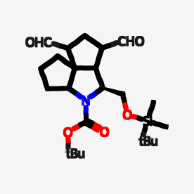 CC(C)(C)OC(=O)N1C2CCCC23C(C=O)CC(C=O)C3[C@H]1CO[Si](C)(C)C(C)(C)C